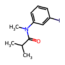 CC(C)C(=O)N(C)c1cccc(I)c1